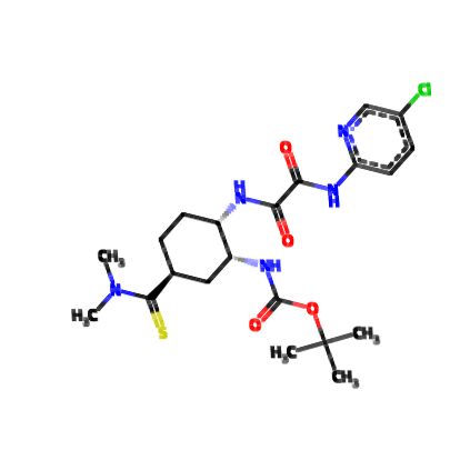 CN(C)C(=S)[C@H]1CC[C@H](NC(=O)C(=O)Nc2ccc(Cl)cn2)[C@H](NC(=O)OC(C)(C)C)C1